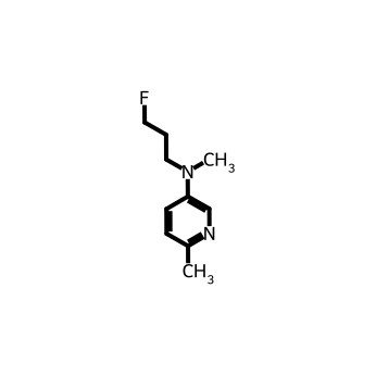 Cc1ccc(N(C)CCCF)cn1